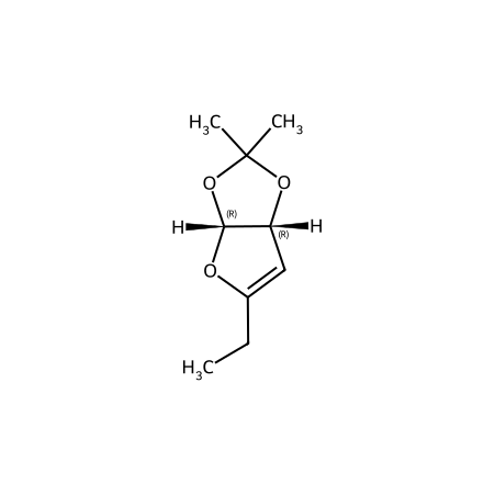 CCC1=C[C@H]2OC(C)(C)O[C@H]2O1